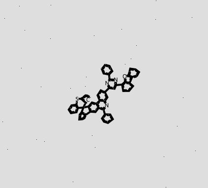 c1ccc(-c2nc(-c3ccc4c(c3)nc(-c3ccccc3)c3cc5c(cc34)C3(c4ccccc4Sc4ccccc43)c3ccccc3-5)cc(-c3cccc4c3oc3ccccc34)n2)cc1